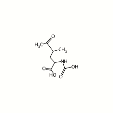 CC(=O)C(C)CC(NC(=O)O)C(=O)O